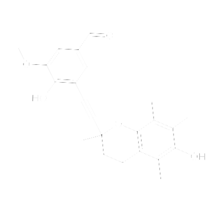 COc1cc(C=O)cc(C#CC2(C)CCc3c(C)c(O)c(C)c(C)c3O2)c1O